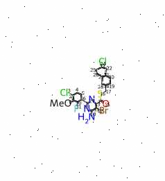 COc1c(Cl)ccc(-c2nc(N)c(Br)c(C(=O)SCc3ccc4cc(Cl)ccc4c3)n2)c1F